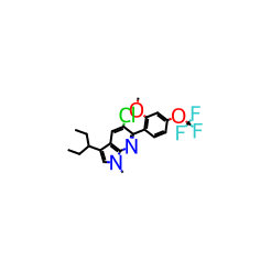 CCC(CC)c1cn(C)c2nc(-c3ccc(OC(F)(F)F)cc3OC)c(Cl)cc12